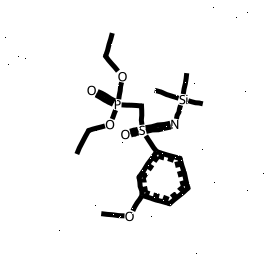 CCOP(=O)(CS(=O)(=N[Si](C)(C)C)c1cccc(OC)c1)OCC